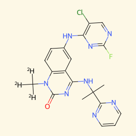 [2H]C([2H])([2H])n1c(=O)nc(NC(C)(C)c2ncccn2)c2cc(Nc3nc(F)ncc3Cl)ccc21